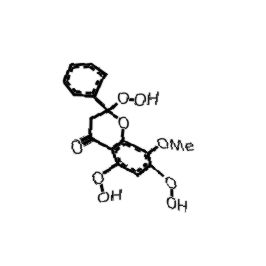 COc1c(OO)cc(OO)c2c1OC(OO)(c1ccccc1)CC2=O